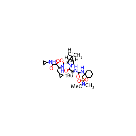 CON(C)S(=O)(=O)CC1(NC(=O)N[C@H](C(=O)N2C[C@H]3[C@@H]([C@H]2C(=O)N[C@@H](CC2CC2)C(=O)C(=O)NC2CC2)C3(C)C)C(C)(C)C)CCCCC1